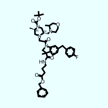 CC1COCCN1C[C@H]1CN(C(=O)OC(C)(C)C)[C@H](C)CN1CC(=O)N1CC(C)(C(=O)NCCCC(=O)OCc2ccccc2)c2ccc(Cc3ccc(F)cc3)cc21